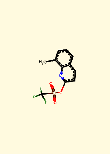 Cc1cccc2ccc(OS(=O)(=O)C(F)(F)F)nc12